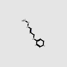 CCCSS/C=C/CSC1=CCCC=C1